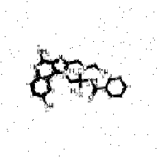 CCOCc1nc2c(N)nc3ccc(O)cc3c2n1CC(C)(C)NC(=O)C1CCCCC1